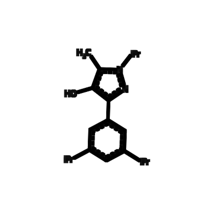 Cc1c(O)c(-c2cc(C(C)C)cc(C(C)C)c2)nn1C(C)C